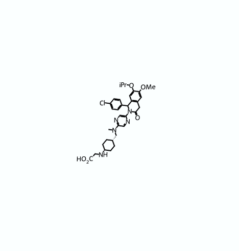 COc1cc2c(cc1OC(C)C)C(c1ccc(Cl)cc1)N(c1cnc(N(C)C[C@H]3CC[C@H](NCC(=O)O)CC3)cn1)C(=O)C2